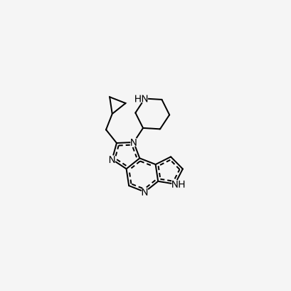 c1cc2c(ncc3nc(CC4CC4)n(C4CCCNC4)c32)[nH]1